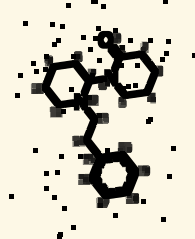 O=C1CCCCN1C1CCCCN1CCc1ccccc1